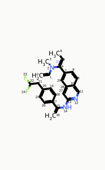 C=CN(C)/C(=C\C)c1ccc2cnc(NC(=C)c3ccc(CC(F)F)cc3)cc2c1